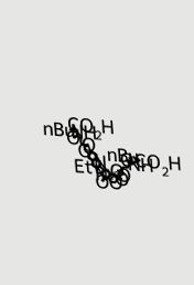 CCCCC(NC(=O)CCC(=O)Oc1ccc2nc3c(c(CC)c2c1)Cn1c-3cc2c(c1=O)COC(=O)[C@H]2OC(=O)CCC(=O)NC(CCCC)C(=O)O)C(=O)O